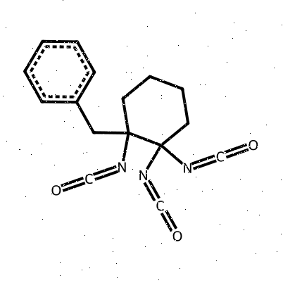 O=C=NC1(Cc2ccccc2)CCCCC1(N=C=O)N=C=O